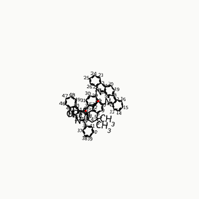 CC1(C)CCC(C)(C)c2cc(-n3c4ccccc4c4ccc5c6ccccc6n(-c6ccc(-c7nc(-c8ccccc8)nc8oc9ccccc9c78)cc6)c5c43)ccc21